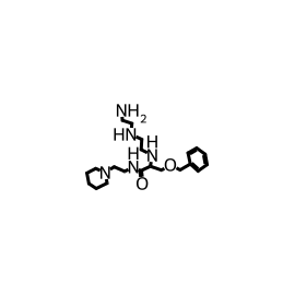 NCCNCCNC(COCc1ccccc1)C(=O)NCCN1CCCCC1